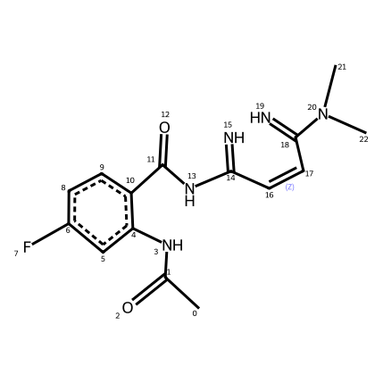 CC(=O)Nc1cc(F)ccc1C(=O)NC(=N)/C=C\C(=N)N(C)C